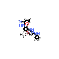 COc1ccc(NC(=O)/C(C#N)=C\C2CC2)cc1Nc1nccc(Nc2ccccc2)n1